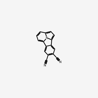 N#Cc1cc2c(cc1C#N)c1ccc3cccc2n31